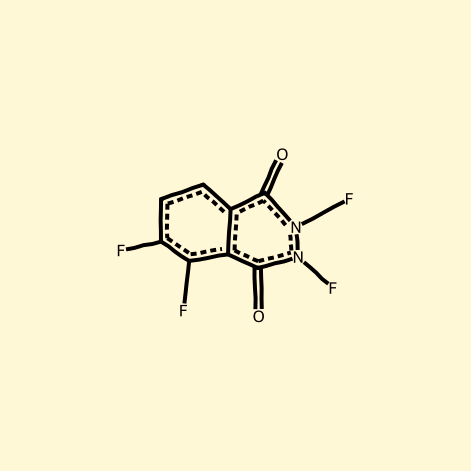 O=c1c2ccc(F)c(F)c2c(=O)n(F)n1F